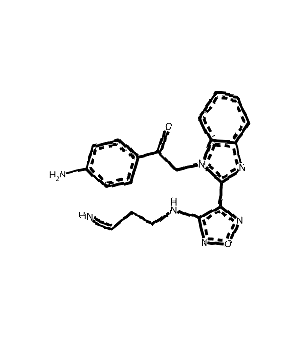 N=CCCNc1nonc1-c1nc2ccccc2n1CC(=O)c1ccc(N)cc1